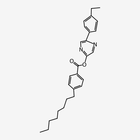 CCCCCCCCc1ccc(C(=O)Oc2cnc(-c3ccc(CC)cc3)cn2)cc1